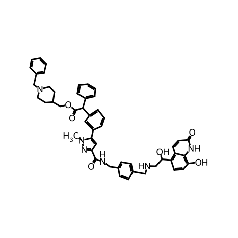 Cn1nc(C(=O)NCc2ccc(CNCC(O)c3ccc(O)c4[nH]c(=O)ccc34)cc2)cc1-c1cccc(C(C(=O)OCC2CCN(Cc3ccccc3)CC2)c2ccccc2)c1